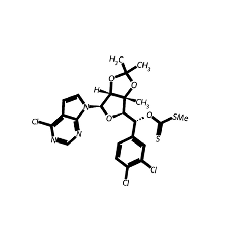 CSC(=S)O[C@H](c1ccc(Cl)c(Cl)c1)[C@H]1O[C@@H](n2ccc3c(Cl)ncnc32)[C@@H]2OC(C)(C)O[C@]12C